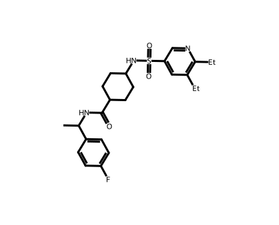 CCc1cc(S(=O)(=O)NC2CCC(C(=O)NC(C)c3ccc(F)cc3)CC2)cnc1CC